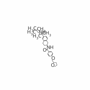 CC(C)(C)CNC(C)(C)c1ccc2c(c1)CCC(NC(=O)c1ccc(OCC3CCCO3)cc1)C2